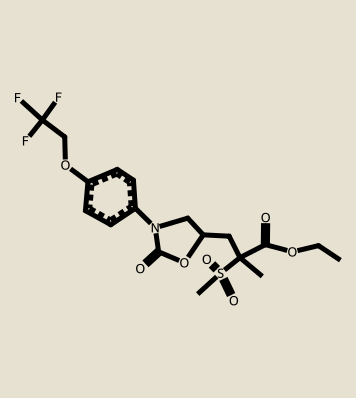 CCOC(=O)C(C)(CC1CN(c2ccc(OCC(F)(F)F)cc2)C(=O)O1)S(C)(=O)=O